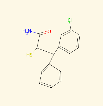 NC(=O)C(S)C(c1ccccc1)c1cccc(Cl)c1